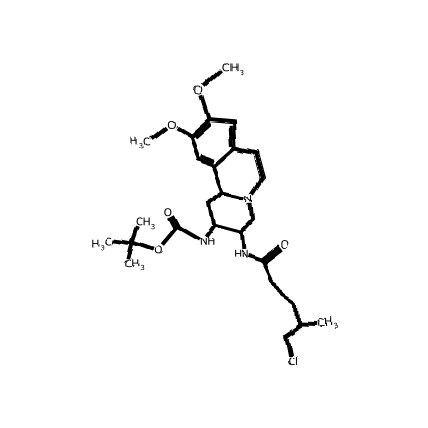 COc1cc2c(cc1OC)C1CC(NC(=O)OC(C)(C)C)C(NC(=O)CCC(C)CCl)CN1CC2